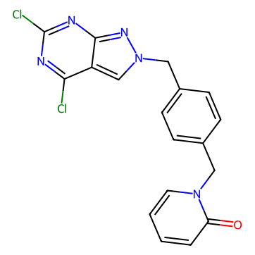 O=c1ccccn1Cc1ccc(Cn2cc3c(Cl)nc(Cl)nc3n2)cc1